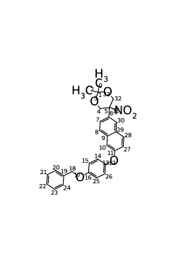 CC1(C)OCC(c2ccc3cc(Oc4ccc(OCc5ccccc5)cc4)ccc3c2)([N+](=O)[O-])CO1